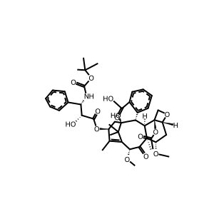 CO[C@H]1C(=O)[C@]2(C)[C@@H](OC)C[C@H]3OC[C@@]3(OC(C)=O)[C@@H]2[C@@H](c2ccccc2C(=O)O)[C@@]2(O)C[C@H](OC(=O)[C@H](O)[C@@H](NC(=O)OC(C)(C)C)c3ccccc3)C(C)=C1C2(C)C